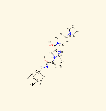 O=C(NCC12CC3C[C@@H]3C3(CC3C1)C2)c1cccc2nc(C(=O)N3CCC(N4CCCC4)CC3)cn12